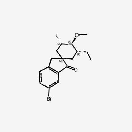 CC[C@@H]1C[C@@]2(Cc3ccc(Br)cc3C2=O)C[C@H](C)[C@H]1OC